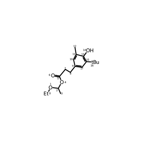 CCOC(C)OC(=O)CCc1cc(C)c(O)c(C(C)(C)C)c1